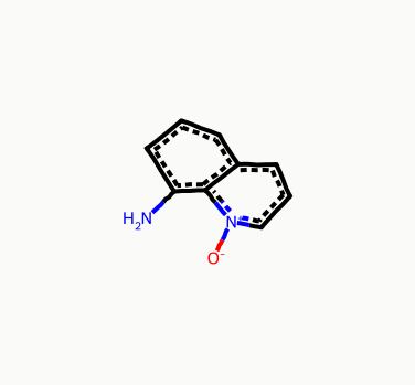 Nc1cccc2ccc[n+]([O-])c12